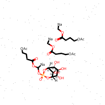 CC(=O)OCCCC(=O)O[CH2][Na].CC(=O)OCCCC(=O)O[CH2][Na].CC(=O)OCCCC(=O)O[CH]([Na])OP1(=O)O[C@@H]2[C@@H](O)[C@@H](O1)[C@@H](O)[C@H](O)[C@H]2O